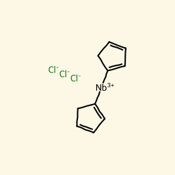 C1=CC[C]([Nb+3][C]2=CC=CC2)=C1.[Cl-].[Cl-].[Cl-]